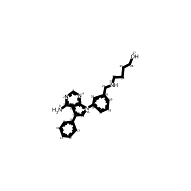 Nc1ncnc2c1c(-c1ccccc1)cn2-c1cccc(CNCCCCO)c1